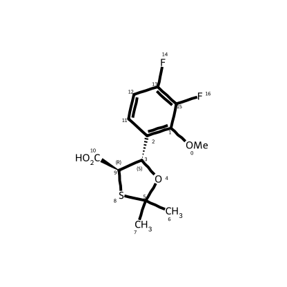 COc1c([C@@H]2OC(C)(C)S[C@H]2C(=O)O)ccc(F)c1F